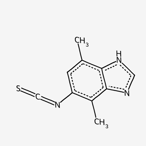 Cc1c(N=C=S)cc(C)c2[nH]cnc12